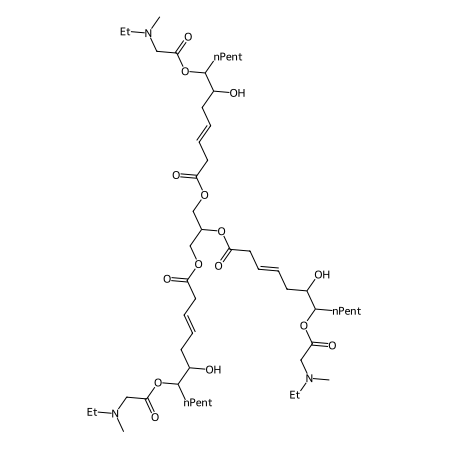 CCCCCC(OC(=O)CN(C)CC)C(O)C/C=C/CC(=O)OCC(COC(=O)C/C=C/CC(O)C(CCCCC)OC(=O)CN(C)CC)OC(=O)C/C=C/CC(O)C(CCCCC)OC(=O)CN(C)CC